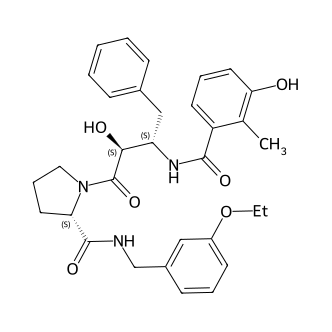 CCOc1cccc(CNC(=O)[C@@H]2CCCN2C(=O)[C@@H](O)[C@H](Cc2ccccc2)NC(=O)c2cccc(O)c2C)c1